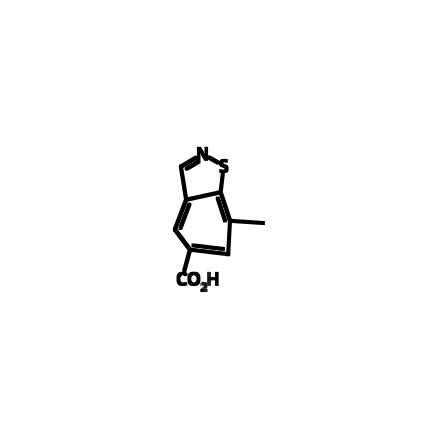 Cc1cc(C(=O)O)cc2cnsc12